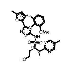 COc1cccc(OC)c1-n1c(NS(=O)(=O)[C@H](CCO)[C@@H](C)c2ncc(C)cn2)nnc1-c1ccc(C)o1